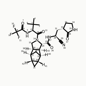 CC(C)(C)[C@H](NC(=O)C(F)(F)F)C(=O)N1C[C@@H]2[C@H]3C[C@H]([C@@H]4C[C@@H]43)[C@@H]2[C@H]1C(=O)N[C@H](C#N)C[C@@H]1CCNC1=O